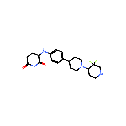 O=C1CCC(Nc2ccc(C3CCN(C4CCNCC4(F)F)CC3)cc2)C(=O)N1